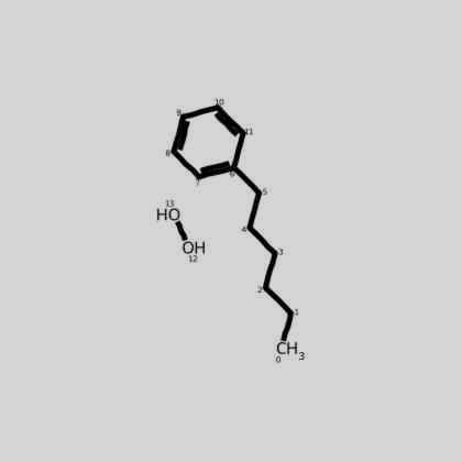 CCCCCCc1ccccc1.OO